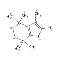 Cc1c(Br)sc2c1C(C)(C)CCC2(C)C